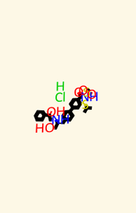 CC(C)Sc1cc(-c2ccc(C[C@@H](CO)NC[C@H](O)c3ccccc3)cc2)ccc1C(=O)NS(C)(=O)=O.Cl